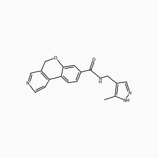 Cc1[nH]ncc1CNC(=O)c1ccc2c(c1)OCc1cnccc1-2